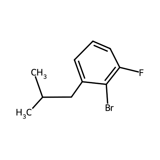 CC(C)Cc1cccc(F)c1Br